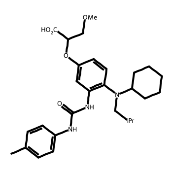 COCC(Oc1ccc(N(CC(C)C)C2CCCCC2)c(NC(=O)Nc2ccc(C)cc2)c1)C(=O)O